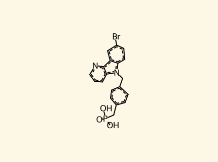 O=P(O)(O)Cc1ccc(Cn2c3ccc(Br)cc3c3ncccc32)cc1